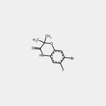 CC1(C)Oc2cc(Br)c(F)cc2NC1=O